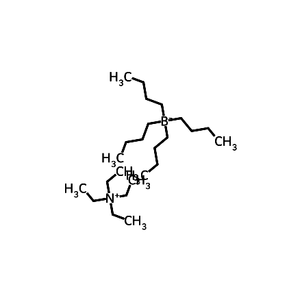 CCCC[B-](CCCC)(CCCC)CCCC.CC[N+](CC)(CC)CC